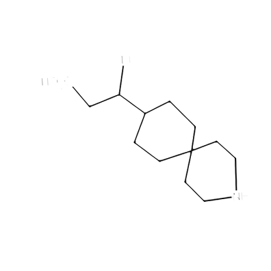 CCC(CC(=O)O)C1CCC2(CCNCC2)CC1